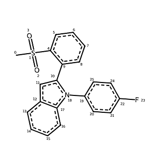 CS(=O)(=O)c1ccccc1-c1cc2ccccc2n1-c1ccc(F)cc1